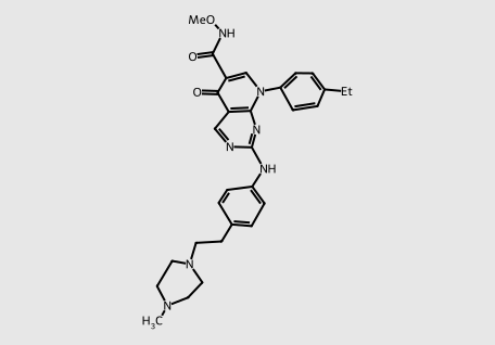 CCc1ccc(-n2cc(C(=O)NOC)c(=O)c3cnc(Nc4ccc(CCN5CCN(C)CC5)cc4)nc32)cc1